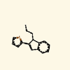 CCC[C]1C(c2cccs2)=Cc2ccccc21